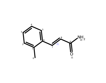 Cc1ccccc1/C=C/C(N)=O